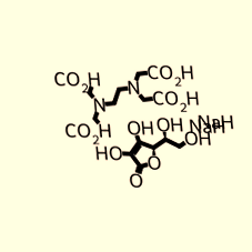 O=C(O)CN(CCN(CC(=O)O)CC(=O)O)CC(=O)O.O=C1O[C@H]([C@@H](O)CO)C(O)=C1O.[NaH].[NaH]